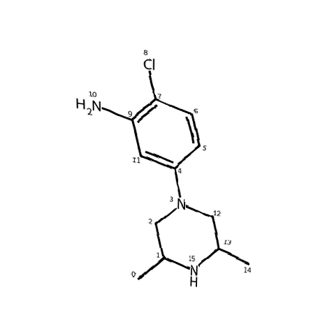 CC1CN(c2ccc(Cl)c(N)c2)CC(C)N1